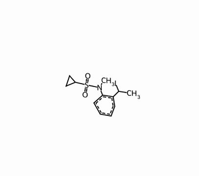 CC(I)c1ccccc1N(C)S(=O)(=O)C1CC1